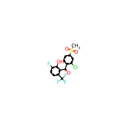 CS(=O)(=O)c1ccc(C(=O)c2c(C(F)(F)F)ccc(F)c2O)c(Cl)c1